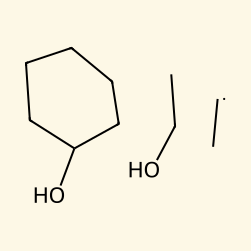 CCO.OC1CCCCC1.[CH2]C